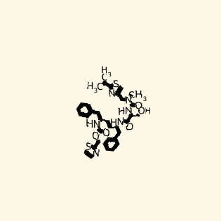 CC(C)c1nc(CN(C)C(=O)N[C@@H](CO)C(=O)N[C@H](CC[C@H](Cc2ccccc2)NC(=O)OCc2nccs2)Cc2ccccc2)cs1